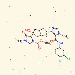 CN1CN(C(=O)OC(C)(C)C)C(C2(O)CC3CC(c4ncn(C)c4C(=O)NC4CCC(F)C(Cl)C4)CC3C2)C1=O